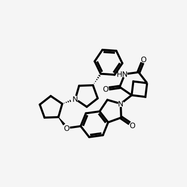 O=C1NC(=O)C2(N3Cc4cc(O[C@H]5CCC[C@@H]5N5CC[C@@H](c6ccccc6)C5)ccc4C3=O)CC1C2